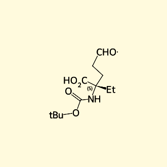 CC[C@@](CC[C]=O)(NC(=O)OC(C)(C)C)C(=O)O